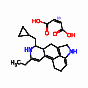 CCC1=CC2=C3CCC=C4NCC(=C43)CC2C(CC2CC2)N1.O=C(O)/C=C\C(=O)O